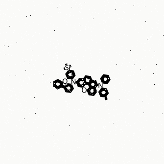 Cc1ccc(N(c2ccccc2)c2cc3ccc4cc(N(c5ccc([Si](C)(C)C)cc5)c5cccc6c5oc5ccccc56)cc5c4c3c3c(cccc23)O5)cc1